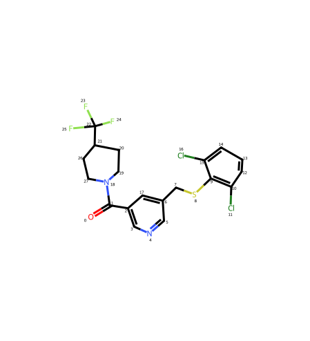 O=C(c1cncc(CSc2c(Cl)cccc2Cl)c1)N1CCC(C(F)(F)F)CC1